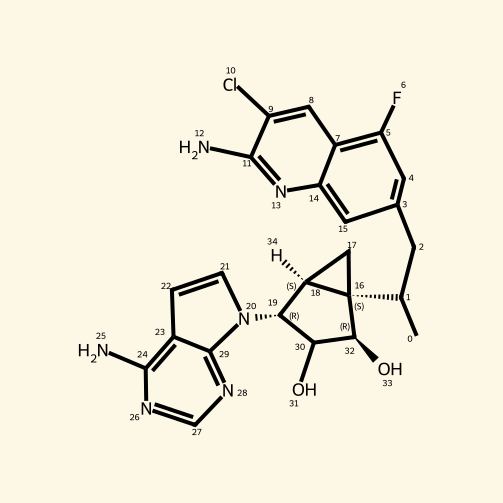 CC(Cc1cc(F)c2cc(Cl)c(N)nc2c1)[C@@]12C[C@@H]1[C@@H](n1ccc3c(N)ncnc31)C(O)[C@@H]2O